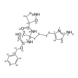 Nc1nc(CCCCC(NC(=O)OCc2ccccc2)(NC(=O)C2CCNO2)C(=O)O)cs1